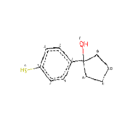 OC1(c2ccc(S)cc2)CCCC1